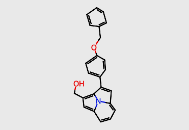 OCc1cc2cccc3cc(-c4ccc(OCc5ccccc5)cc4)c1n23